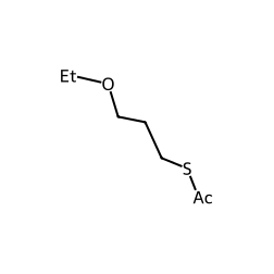 [CH2]COCCCSC(C)=O